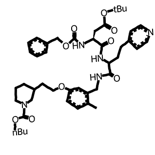 CCCCOC(=O)N1CCCC(CCOc2ccc(C)c(CNC(=O)C(CCc3ccncc3)NC(=O)[C@H](CC(=O)OC(C)(C)C)NC(=O)OCc3ccccc3)c2)C1